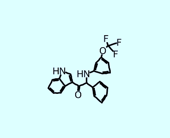 O=C(c1c[nH]c2ccccc12)C(Nc1cccc(OC(F)(F)F)c1)c1ccccc1